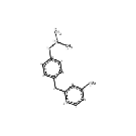 CCCCc1ccnc(Cc2ccc(CN(C)C)cc2)c1